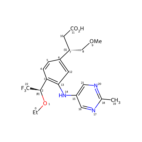 CCO[C@H](c1ccc([C@@H](COC)CC(=O)O)cc1Nc1cnc(C)nc1)C(F)(F)F